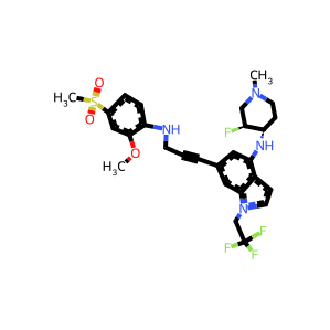 COc1cc(S(C)(=O)=O)ccc1NCC#Cc1cc(N[C@H]2CCN(C)C[C@@H]2F)c2ccn(CC(F)(F)F)c2c1